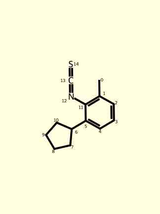 Cc1cccc(C2CCCC2)c1N=C=S